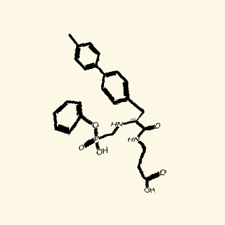 Cc1ccc(-c2ccc(C[C@H](NCP(=O)(O)Oc3ccccc3)C(=O)NCCC(=O)O)cc2)cc1